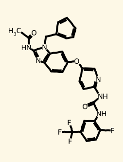 CC(=O)Nc1nc2ccc(Oc3ccc(NC(=O)Nc4cc(C(F)(F)F)ccc4F)nc3)cc2n1Cc1ccccc1